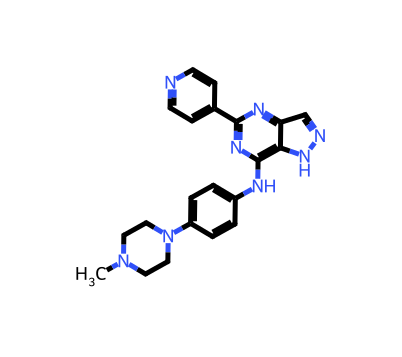 CN1CCN(c2ccc(Nc3nc(-c4ccncc4)nc4cn[nH]c34)cc2)CC1